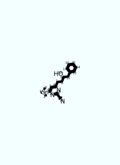 [CH3][Sn]([CH3])([CH3])[c]1cc(CCC(O)Cc2ccccc2)nc(C#N)n1